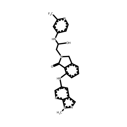 Cn1ncc2cc(Nc3cccc4c3C(=O)N(CC(O)Nc3ccnc(C(F)(F)F)c3)C4)cnc21